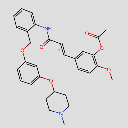 COc1ccc(/C=C/C(=O)Nc2ccccc2COc2cccc(OC3CCN(C)CC3)c2)cc1OC(C)=O